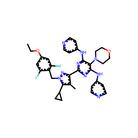 CCOc1cc(F)c(Cn2nc(-c3nc(Nc4ccncc4)c(N4CCOCC4)c(Nc4ccncc4)n3)c(C)c2C2CC2)c(F)c1